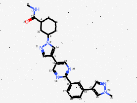 CNC(=O)C1CCCC(n2cc(-c3cnc(-c4cccc(-c5cnn(C)c5)c4)nc3)cn2)C1